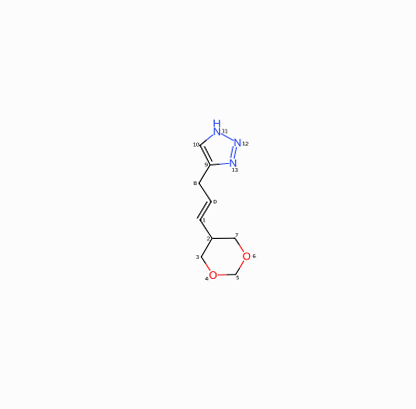 C(=CC1COCOC1)Cc1c[nH]nn1